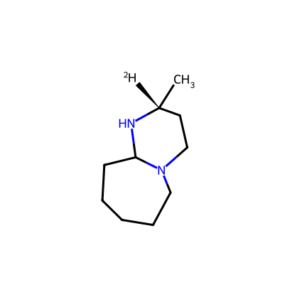 [2H][C@@]1(C)CCN2CCCCCC2N1